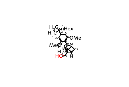 CCCCCCC(C)(C)c1cc(OC)c(C2C=C(CO)[C@H]3CC2C3(C)C)c(OC)c1